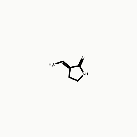 C/C=C1\CCNC1=O